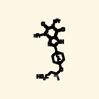 CCCn1c(=O)c2[nH]c(C34CCC(O[C@H](C)CC(=O)O)(CC3)CC4)nc2n(CCC)c1=O